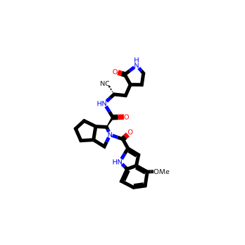 COc1cccc2[nH]c(C(=O)N3CC4CCCC4[C@H]3C(=O)N[C@H](C#N)CC3CCNC3=O)cc12